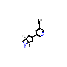 C#Cc1cncc(C2=C[C@H]3CN[C@H]3C2)c1